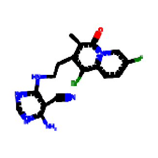 Cc1c(CCNc2ncnc(N)c2C#N)c(Br)c2ccc(F)cn2c1=O